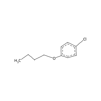 CC[CH]COc1ccc(Cl)cc1